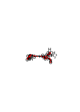 CCN(c1cc(-c2ccc(CN3CCOCC3)cc2)cc(C(=O)NCc2c(C)cc(C)[nH]c2=O)c1C)C1CCN(C(=O)CCCCCCCCCCC(=O)NCCOc2cccc3c2C(=O)N(C2CCC(=O)NC2=O)C3=O)CC1